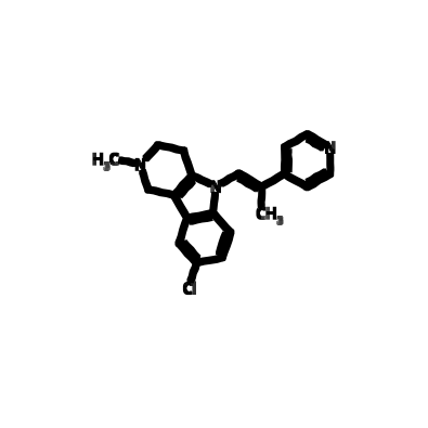 C/C(=C\n1c2c(c3cc(Cl)ccc31)CN(C)CC2)c1ccncc1